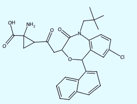 CC(C)(C)CN1C(=O)C(CC(=O)C2CC2(N)C(=O)O)OC(c2cccc3ccccc23)c2cc(Cl)ccc21